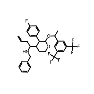 C=CCC(NCc1ccccc1)C1CCOC(OC(C)c2cc(C(F)(F)F)cc(C(F)(F)F)c2)C1c1ccc(F)cc1